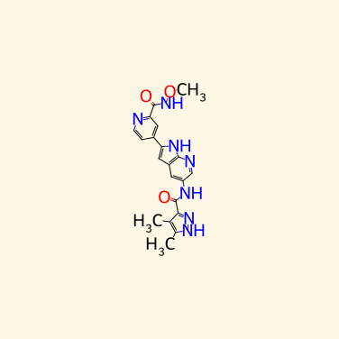 CONC(=O)c1cc(-c2cc3cc(NC(=O)c4n[nH]c(C)c4C)cnc3[nH]2)ccn1